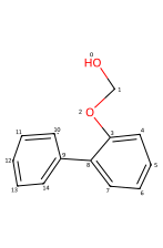 OCOc1ccccc1-c1[c]cccc1